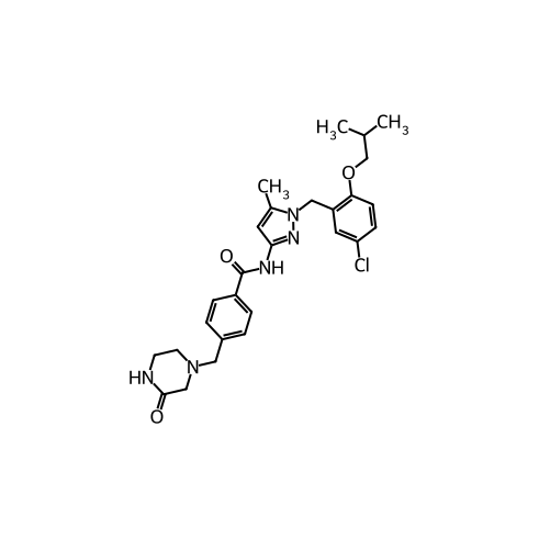 Cc1cc(NC(=O)c2ccc(CN3CCNC(=O)C3)cc2)nn1Cc1cc(Cl)ccc1OCC(C)C